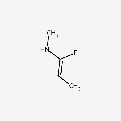 CC=C(F)NC